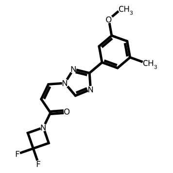 COc1cc(C)cc(-c2ncn(/C=C\C(=O)N3CC(F)(F)C3)n2)c1